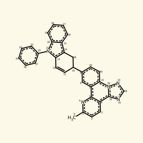 Cc1ccc2c(n1)c1cc(C3C=Cc4c(c5ccccc5n4-c4ccccc4)C3)ccc1n1ncnc21